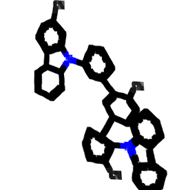 N#CC1=CCC(c2cccc(C#N)c2-n2c3ccccc3c3ccccc32)C=C1c1cccc(N2c3cc(C#N)ccc3C3C=CC=CC32)c1